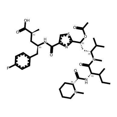 CCC(C)[C@H](NC(=O)[C@H]1CCCCN1C)C(=O)N(C)[C@H](C[C@@H](OC(C)=O)c1nc(C(=O)N[C@@H](Cc2ccc(F)cc2)C[C@H](C)C(=O)O)cs1)C(C)C